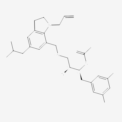 C=CCN1CCc2cc(CC(C)C)cc(CNC[C@H](N)[C@H](Cc3cc(F)cc(F)c3)NC(C)=O)c21